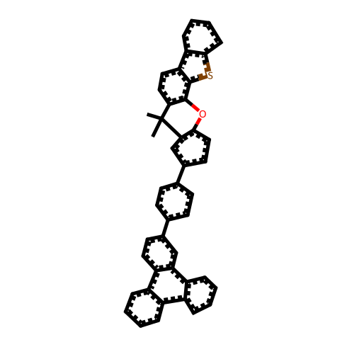 CC1(C)c2cc(-c3ccc(-c4ccc5c6ccccc6c6ccccc6c5c4)cc3)ccc2Oc2c1ccc1c2sc2ccccc21